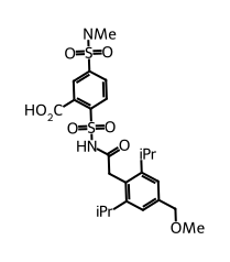 CNS(=O)(=O)c1ccc(S(=O)(=O)NC(=O)Cc2c(C(C)C)cc(COC)cc2C(C)C)c(C(=O)O)c1